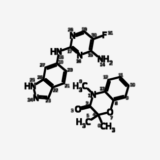 CN1C(=O)C(C)(C)Oc2ccccc21.Nc1nc(Nc2ccc3cn[nH]c3c2)ncc1F